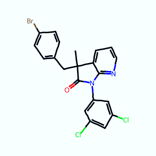 CC1(Cc2ccc(Br)cc2)C(=O)N(c2cc(Cl)cc(Cl)c2)c2ncccc21